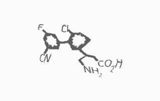 N#Cc1cc(F)cc(-c2cc([C@H](CN)CC(=O)O)ccc2Cl)c1